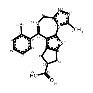 Cc1nnc2n1-c1sc3c(c1C(c1ccccc1Br)=NC2)CC(C(=O)O)C3